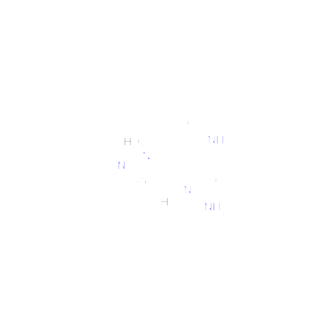 CN(C(N)=O)c1cc(C(N)=O)cc(N(C)C(N)=O)c1